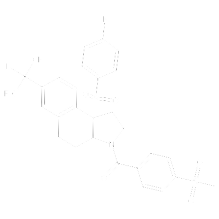 CS(=O)(=O)c1ccc(C(=O)N2CC[C@]3(S(=O)(=O)c4ccc(F)cc4)c4ccc(C(F)(C(F)(F)F)C(F)(F)F)cc4CC[C@H]23)cc1